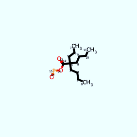 CCCCC(CCC)(CCCC)C(=O)OP=O